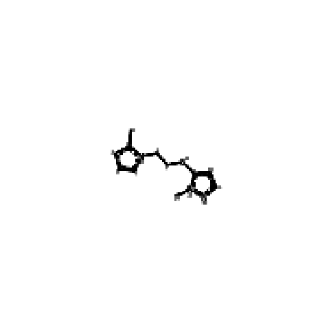 Cc1cccn1CCSc1ccnn1C